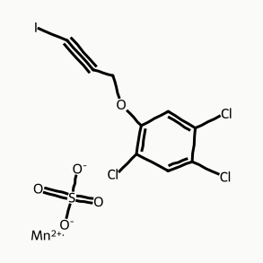 Clc1cc(Cl)c(OCC#CI)cc1Cl.O=S(=O)([O-])[O-].[Mn+2]